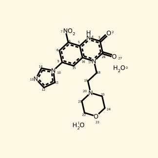 O.O.O=c1[nH]c2c([N+](=O)[O-])cc(-n3ccnc3)cc2n(CCN2CCOCC2)c1=O